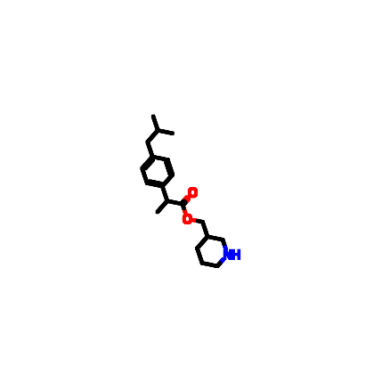 CC(C)Cc1ccc(C(C)C(=O)OCC2CCCNC2)cc1